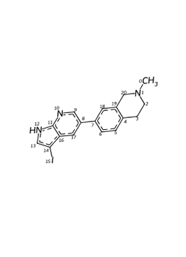 CN1CCc2ccc(-c3cnc4[nH]cc(I)c4c3)cc2C1